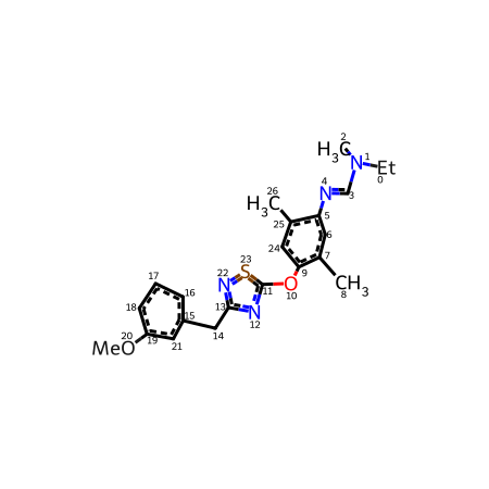 CCN(C)C=Nc1cc(C)c(Oc2nc(Cc3cccc(OC)c3)ns2)cc1C